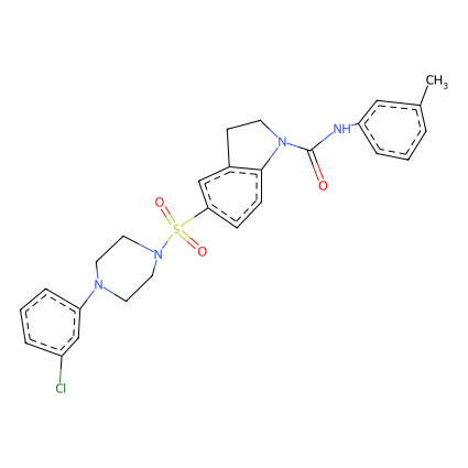 Cc1cccc(NC(=O)N2CCc3cc(S(=O)(=O)N4CCN(c5cccc(Cl)c5)CC4)ccc32)c1